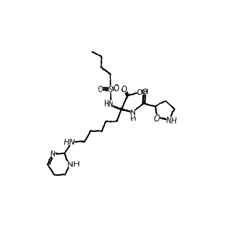 CCCCS(=O)(=O)NC(CCCCCNC1N=CCCN1)(NC(=O)C1CCNO1)C(=O)O